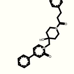 O=C(CCc1ccccc1)N1CCC(O)(Cn2ccc(-c3ccccc3)cc2=O)CC1